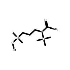 CCO[Si](C)(C)CCCN(C(N)=O)[Si](C)(C)C